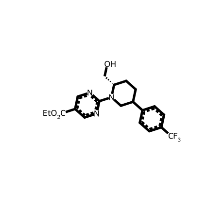 CCOC(=O)c1cnc(N2CC(c3ccc(C(F)(F)F)cc3)CC[C@H]2CO)nc1